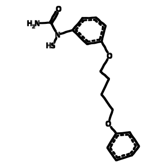 NC(=O)N(S)c1cccc(OCCCCOc2ccccc2)c1